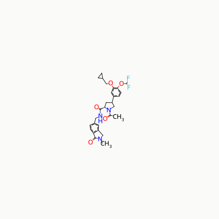 CC(=O)N1CC(c2ccc(OC(F)F)c(OCC3CC3)c2)C[C@@H]1C(=O)NCc1ccc2c(c1)CN(C)C2=O